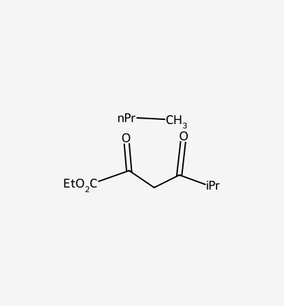 CCCC.CCOC(=O)C(=O)CC(=O)C(C)C